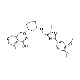 COc1ccc(-c2nc(CO[C@H]3CCC[C@@H](OCc4cccc(C)c4C(=O)O)C3)c(C)o2)cc1OC